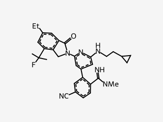 CCc1cc2c(c(C(C)(C)F)c1)CN(c1cc(-c3cc(C#N)ccc3C(=N)NC)cc(NCCC3CC3)n1)C2=O